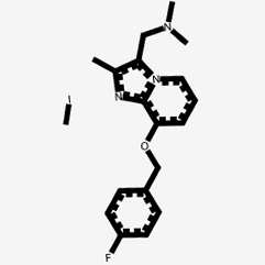 CI.Cc1nc2c(OCc3ccc(F)cc3)cccn2c1CN(C)C